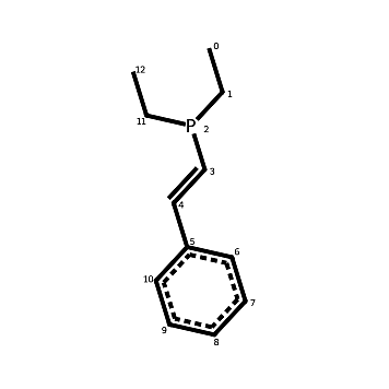 CCP(/C=C/c1ccccc1)CC